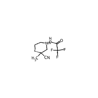 CC1(C#N)CCCNC1.O=C(O)C(F)(F)F